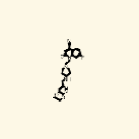 N#Cc1cc(=O)n(CCN2CCC(NCc3cc4c(nn3)OCCO4)CC2)c2cc(F)ccc12